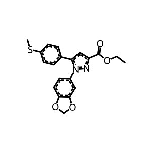 CCOC(=O)c1cc(-c2ccc(SC)cc2)n(-c2ccc3c(c2)OCO3)n1